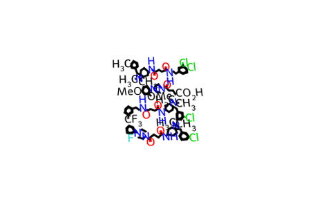 CN(C)C1(Cc2cccc(Cl)c2)CCC(NC(=O)CCC(=O)N2CCN(c3ccccc3F)CC2)CC1.CN(C)C1(Cc2cccc(Cl)c2)CCC(NC(=O)CCC(=O)NCCc2cccc(C(F)(F)F)c2)CC1.COc1ccc(N2CCN(C(=O)CCCC(=O)O)CC2)c(OC)c1.Cc1cccc(CC2(N(C)C)CCC(NC(=O)CCC(=O)NCCc3ccc(Cl)c(Cl)c3)CC2)c1